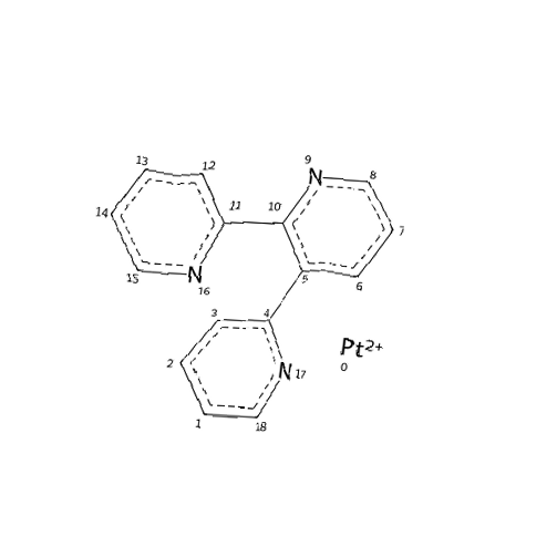 [Pt+2].c1ccc(-c2cccnc2-c2ccccn2)nc1